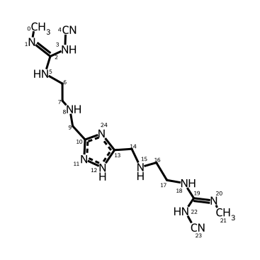 CN=C(NC#N)NCCNCc1n[nH]c(CNCCNC(=NC)NC#N)n1